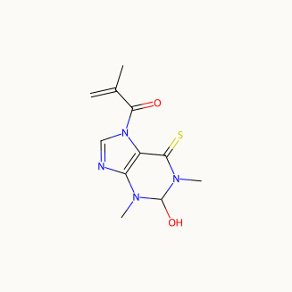 C=C(C)C(=O)n1cnc2c1C(=S)N(C)C(O)N2C